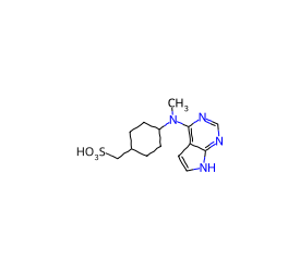 CN(c1ncnc2[nH]ccc12)C1CCC(CS(=O)(=O)O)CC1